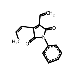 C=CC1=C(/C=C\C)C(=O)N(c2ccccc2)C1=O